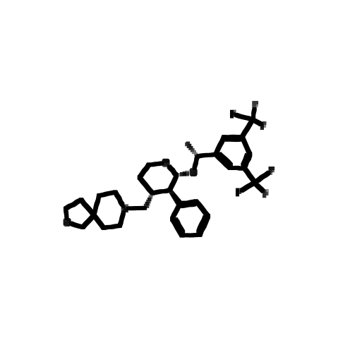 C[C@@H](O[C@H]1OCC[C@@H](CN2CCC3(CCOC3)CC2)[C@@H]1c1ccccc1)c1cc(C(F)(F)F)cc(C(F)(F)F)c1